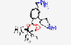 CC(C)(C)OC(=O)c1ccc(CN)cc1C1CCNCC1